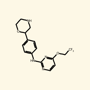 FC(F)(F)COc1ccnc(Nc2ccc(C3CNCCO3)cc2)n1